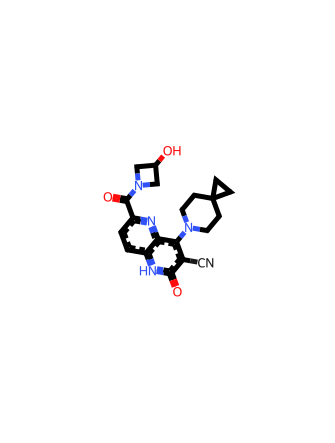 N#Cc1c(N2CCC3(CC2)CC3)c2nc(C(=O)N3CC(O)C3)ccc2[nH]c1=O